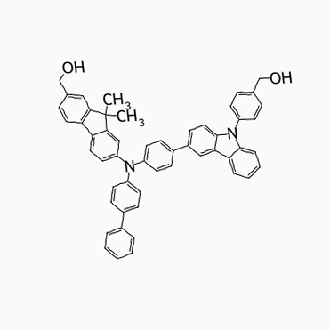 CC1(C)c2cc(CO)ccc2-c2ccc(N(c3ccc(-c4ccccc4)cc3)c3ccc(-c4ccc5c(c4)c4ccccc4n5-c4ccc(CO)cc4)cc3)cc21